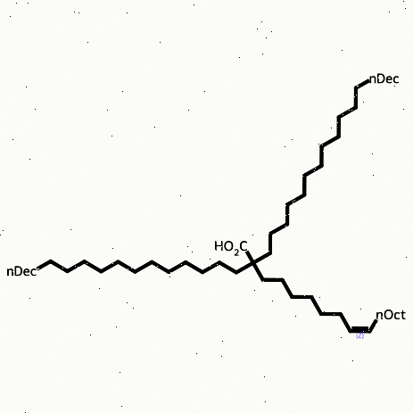 CCCCCCCC/C=C\CCCCCCC(CCCCCCCCCCCCCCCCCCCCCC)(CCCCCCCCCCCCCCCCCCCCCC)C(=O)O